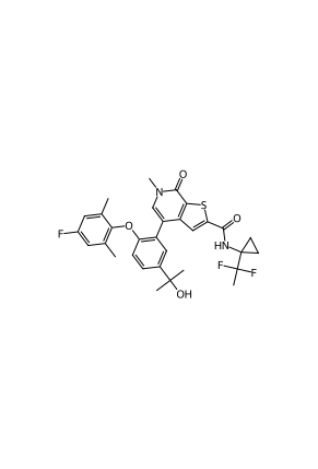 Cc1cc(F)cc(C)c1Oc1ccc(C(C)(C)O)cc1-c1cn(C)c(=O)c2sc(C(=O)NC3(C(C)(F)F)CC3)cc12